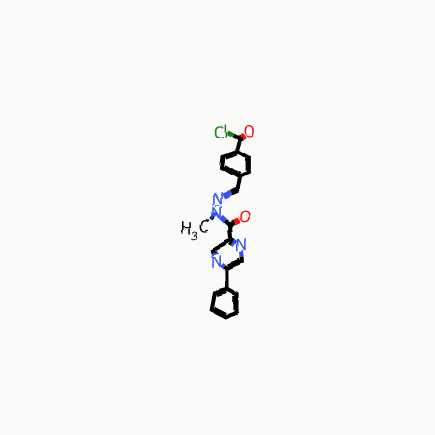 CN(N=Cc1ccc(C(=O)Cl)cc1)C(=O)c1cnc(-c2ccccc2)cn1